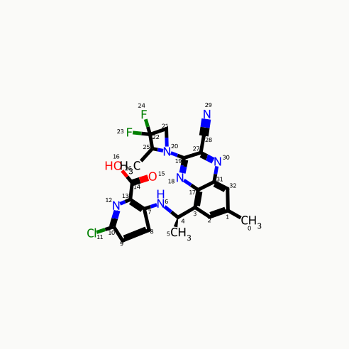 Cc1cc([C@@H](C)Nc2ccc(Cl)nc2C(=O)O)c2nc(N3CC(F)(F)C3C)c(C#N)nc2c1